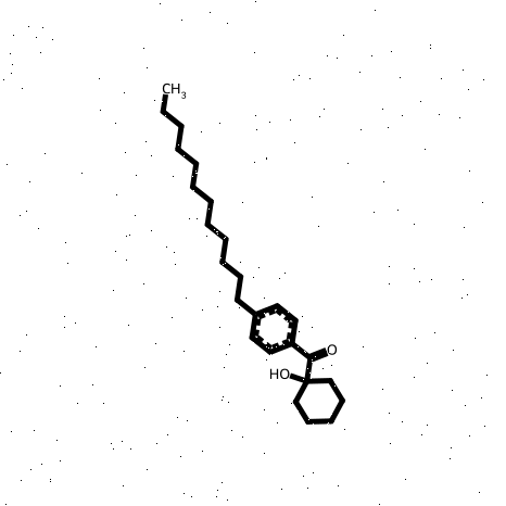 CCCCCCCCCCCCc1ccc(C(=O)C2(O)CCCCC2)cc1